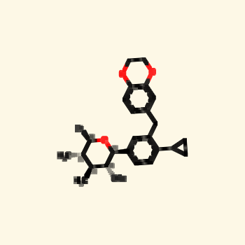 CC[C@H]1O[C@@H](c2ccc(C3CC3)c(Cc3ccc4c(c3)OCCO4)c2)[C@H](OC(C)=O)[C@@H](C)[C@@H]1C